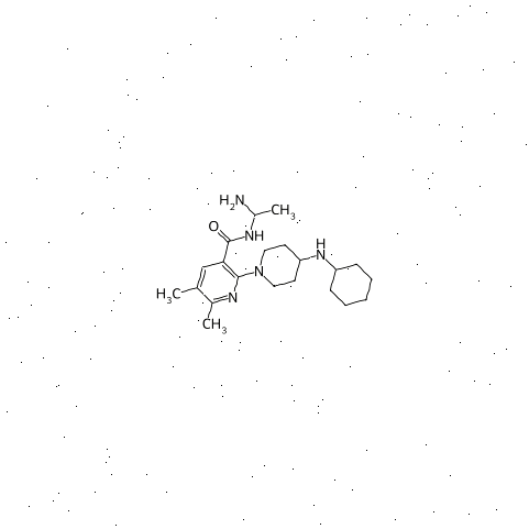 Cc1cc(C(=O)NC(C)N)c(N2CCC(NC3CCCCC3)CC2)nc1C